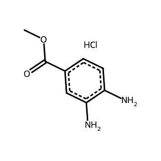 COC(=O)c1ccc(N)c(N)c1.Cl